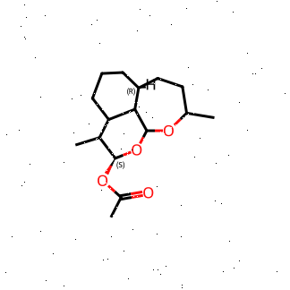 CC(=O)O[C@@H]1OC2OC(C)CC[C@H]3CCCC(C23)C1C